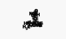 COc1cc(C)c2[nH]ccc2c1CN1CCC2(CC1c1ccc(C(=O)NC3(C#N)COC3)cc1)CC(F)(F)C2